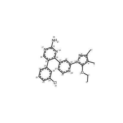 CCOc1c(C)c(C)nn1-c1cc(-c2nc(N)ncc2-c2cccc(Cl)c2)ccn1